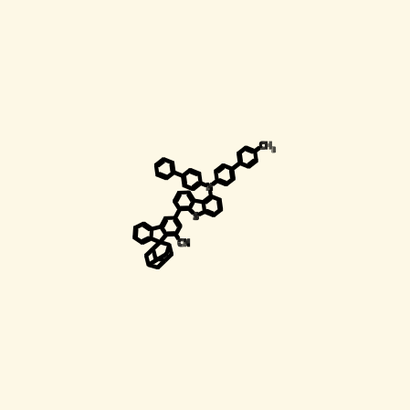 Cc1ccc(-c2ccc(N(c3ccc(-c4ccccc4)cc3)c3cccc4sc5c(-c6cc(C#N)c7c(c6)-c6ccccc6C76C7CC8CC(C7)CC6C8)cccc5c34)cc2)cc1